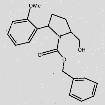 COc1ccccc1C1CCC(CO)N1C(=O)OCc1ccccc1